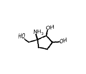 NC1(CO)CCC(O)C1O